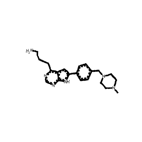 CN1CCN(Cc2ccc(-c3cc4c(CCCN)ncnc4[nH]3)cc2)CC1